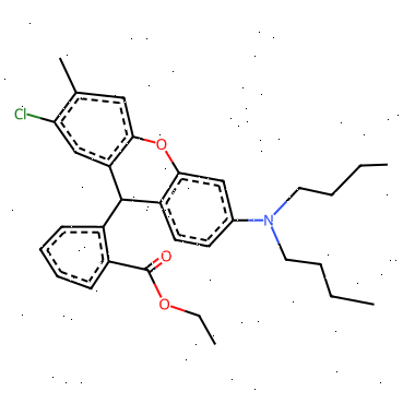 CCCCN(CCCC)c1ccc2c(c1)Oc1cc(C)c(Cl)cc1C2c1ccccc1C(=O)OCC